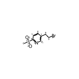 CS(=O)(=O)c1ccc(CCBr)cn1